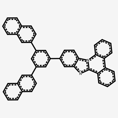 c1ccc2cc(-c3cc(-c4ccc5ccccc5c4)cc(-c4ccc5c(c4)nc4c6ccccc6c6ccccc6n54)c3)ccc2c1